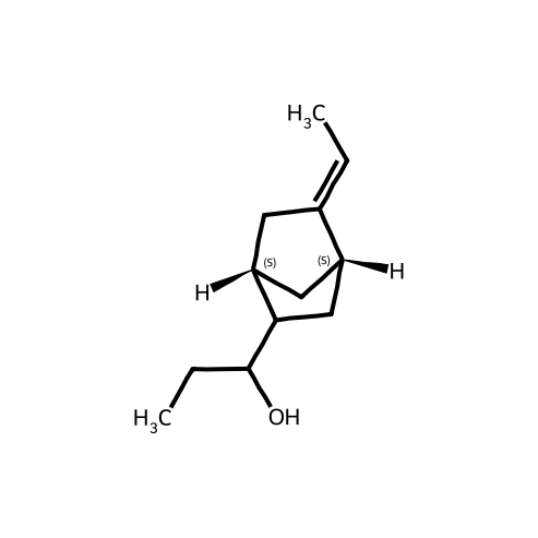 CC=C1C[C@@H]2C[C@H]1CC2C(O)CC